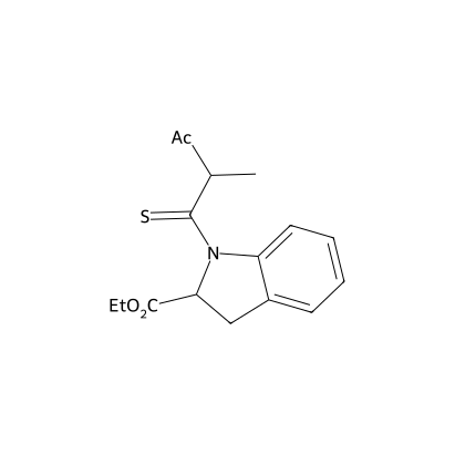 CCOC(=O)C1Cc2ccccc2N1C(=S)C(C)C(C)=O